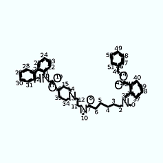 CN(CCCCCC(=O)N(C)CCN1CCC(OC(=O)Nc2ccccc2-c2ccccc2)CC1)Cc1ccccc1C(=O)OCc1ccccc1